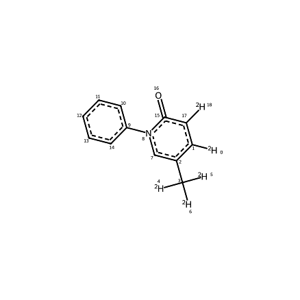 [2H]c1c(C([2H])([2H])[2H])cn(-c2ccccc2)c(=O)c1[2H]